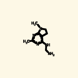 Cc1nc(NCN)c2c(n1)N(C)CC2